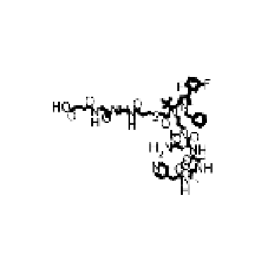 C[C@H](NC(=O)Cc1ccncc1)C(=O)N[C@H](C)C(=O)N[C@@H](CC(N)=O)C(=O)NCCCN(C(=O)CSCCC(=O)NCCNC(=O)CNC(=O)CCC(=O)O)[C@@H](c1cc(-c2cc(F)ccc2F)cn1Cc1ccccc1)C(C)(C)C